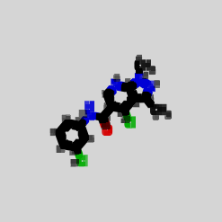 Cc1nn(C)c2ncc(C(=O)Nc3cccc(Cl)c3)c(Cl)c12